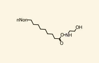 CCCCCCCCCCCCCCCCCC(=O)ONCCO